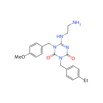 CCc1ccc(Cn2c(=O)nc(NCCN)n(Cc3ccc(OC)cc3)c2=O)cc1